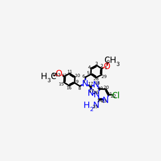 COc1ccc(CN(Cc2ccc(OC)cc2)c2nc3cc(Cl)nc(N)n3n2)cc1